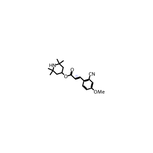 COc1ccc(/C=C/C(=O)OC2CC(C)(C)NC(C)(C)C2)c(C#N)c1